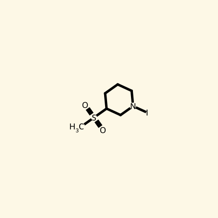 CS(=O)(=O)C1CCCN(I)C1